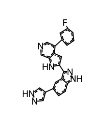 Fc1cccc(-c2cncc3[nH]c(-c4n[nH]c5ccc(-c6cn[nH]c6)cc45)cc23)c1